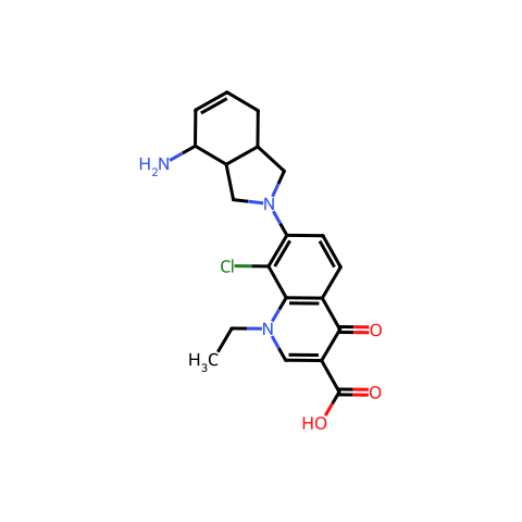 CCn1cc(C(=O)O)c(=O)c2ccc(N3CC4CC=CC(N)C4C3)c(Cl)c21